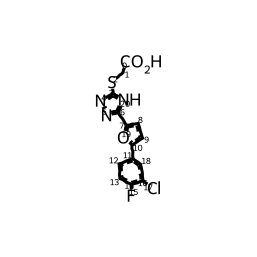 O=C(O)CSc1nnc(-c2ccc(-c3ccc(F)c(Cl)c3)o2)[nH]1